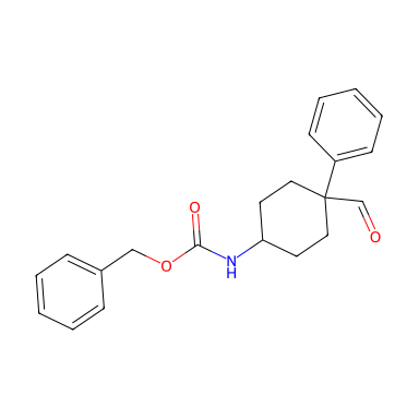 O=CC1(c2ccccc2)CCC(NC(=O)OCc2ccccc2)CC1